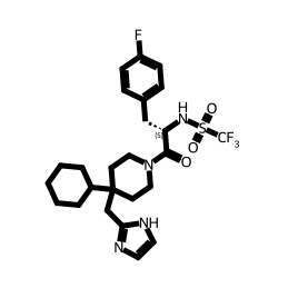 O=C([C@H](Cc1ccc(F)cc1)NS(=O)(=O)C(F)(F)F)N1CCC(Cc2ncc[nH]2)(C2CCCCC2)CC1